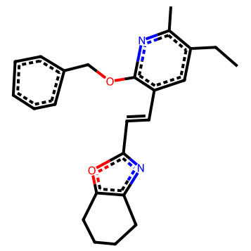 CCc1cc(C=Cc2nc3c(o2)CCCC3)c(OCc2ccccc2)nc1C